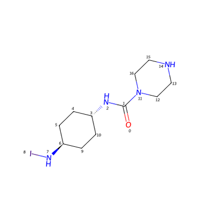 O=C(N[C@H]1CC[C@H](NI)CC1)N1CCNCC1